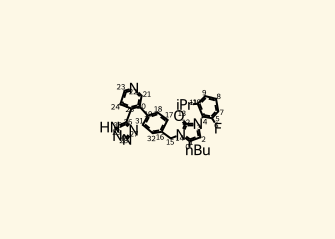 CCCCc1cn(-c2c(F)cccc2C(C)C)c(=O)n1Cc1ccc(-c2cnccc2-c2nnn[nH]2)cc1